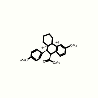 COC(=O)[C@@H]1c2ccc(OC)cc2[C@@H]2CCCC[C@@H]2[C@@H]1c1ccc(OC)cc1